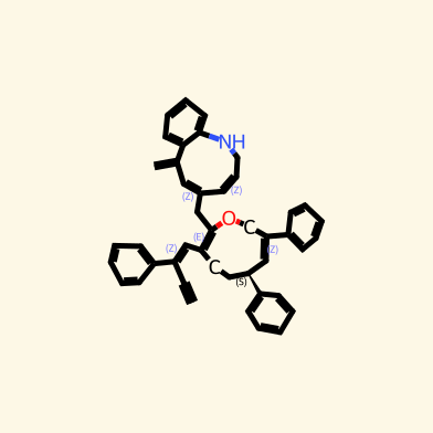 C#C/C(=C\C1=C(/CC2=C/C(=C)c3ccccc3NC/C=C\2)OC/C(c2ccccc2)=C\[C@@H](c2ccccc2)CC1)c1ccccc1